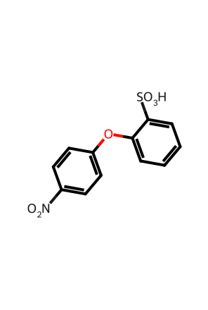 O=[N+]([O-])c1ccc(Oc2ccccc2S(=O)(=O)O)cc1